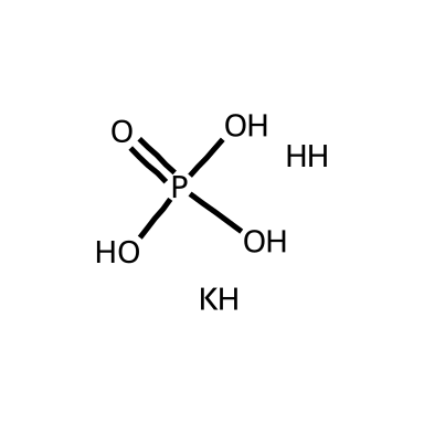 O=P(O)(O)O.[HH].[KH]